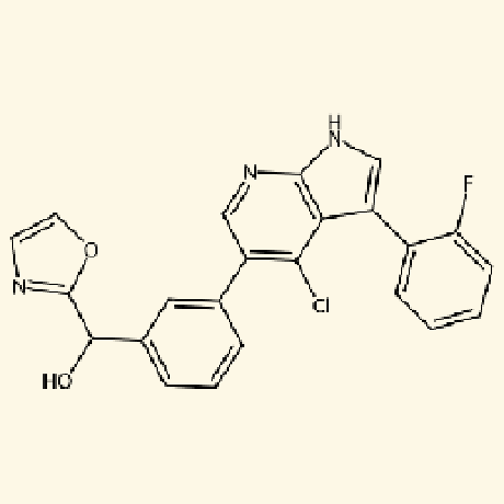 OC(c1cccc(-c2cnc3[nH]cc(-c4ccccc4F)c3c2Cl)c1)c1ncco1